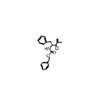 C=C(C)C(=O)[C@H](Cc1ccccc1)NC(=O)OCc1ccccc1